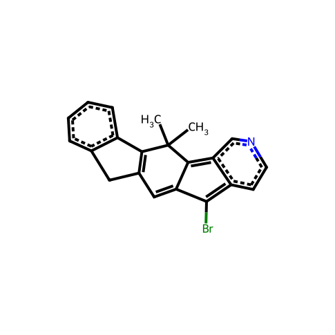 CC1(C)C2=C(C=C3C(Br)=c4ccncc4=C31)Cc1ccccc12